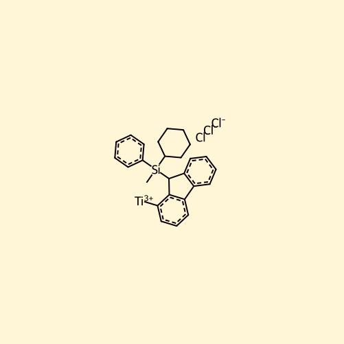 C[Si](c1ccccc1)(C1CCCCC1)C1c2ccccc2-c2ccc[c]([Ti+3])c21.[Cl-].[Cl-].[Cl-]